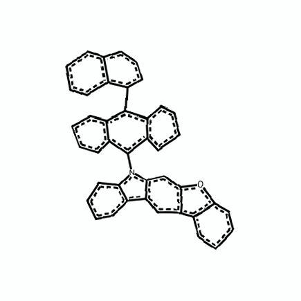 c1ccc2c(-c3c4ccccc4c(-n4c5ccccc5c5cc6c(cc54)oc4ccccc46)c4ccccc34)cccc2c1